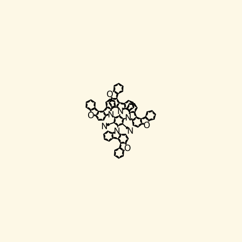 N#Cc1c(-n2c3ccccc3c3c4c(ccc32)oc2ccccc24)c(C#N)c(-n2c3ccccc3c3c4c(ccc32)oc2ccccc24)c(-n2c3ccccc3c3c4c(ccc32)oc2ccccc24)c1-n1c2ccccc2c2c3c(ccc21)oc1ccccc13